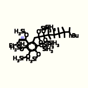 CCCCC(C)C(C)(C)C(C)(C)C(C)(C)C(C)(C)C(O[SiH3])(O[SiH3])C(Cc1c(O[SiH3])c(O[SiH3])c(O[SiH3])c(O[SiH3])c1/C(=C\[SiH2]CC)O[SiH3])(O[SiH3])O[SiH3]